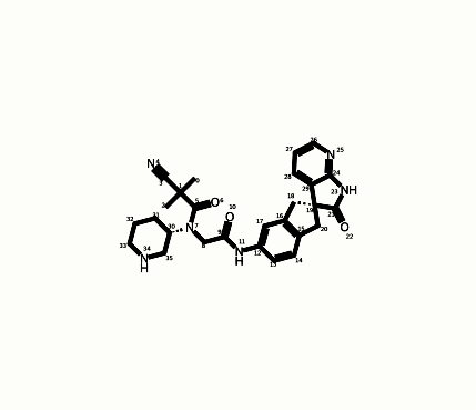 CC(C)(C#N)C(=O)N(CC(=O)Nc1ccc2c(c1)C[C@@]1(C2)C(=O)Nc2ncccc21)[C@H]1CCCNC1